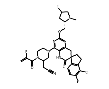 C=C(F)C(=O)N1CCN(c2nc(OC[C@@H]3CC(F)CN3C)nc3c2NC(=O)C2(CCc4c2ccc(F)c4Cl)C3)CC1CC#N